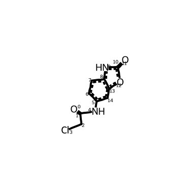 O=C(CCl)Nc1ccc2[nH]c(=O)oc2c1